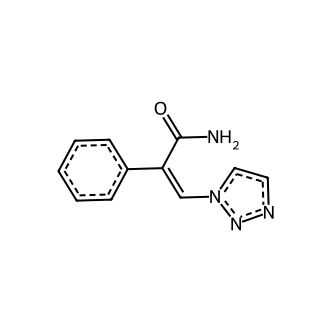 NC(=O)C(=Cn1ccnn1)c1ccccc1